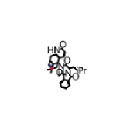 C/C=C1\C2C=C(C)CC1(NC(=O)C(CC(C)C)N1C(=O)c3ccccc3C1=O)c1ccc(=O)[nH]c1C2